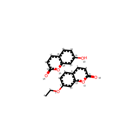 CCOc1ccc2ccc(=O)oc2c1.O=c1ccc2ccc(O)cc2o1